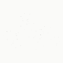 Cc1ccc2c(-c3ccccc3)c3ccccc3c(-c3cccc4c(N(c5ccccc5)c5ccc(-n6c7ccccc7c7ccccc76)cc5)cccc34)c2c1